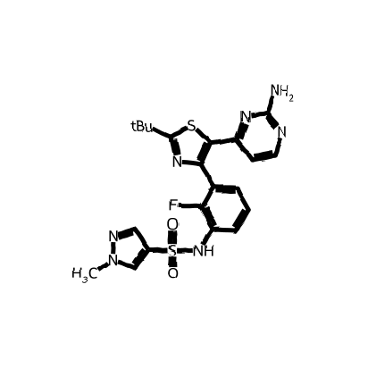 Cn1cc(S(=O)(=O)Nc2cccc(-c3nc(C(C)(C)C)sc3-c3ccnc(N)n3)c2F)cn1